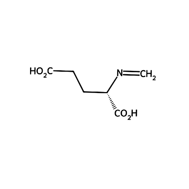 C=N[C@@H](CCC(=O)O)C(=O)O